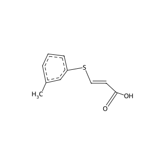 Cc1cccc(S/C=C/C(=O)O)c1